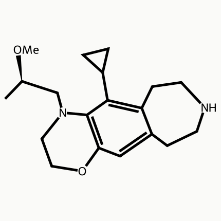 CO[C@H](C)CN1CCOc2cc3c(c(C4CC4)c21)CCNCC3